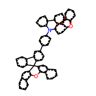 c1ccc(-c2ccccc2N(c2ccc(-c3ccc4c(c3)-c3ccccc3C43c4ccc5ccccc5c4Oc4c3ccc3ccccc43)cc2)c2ccc3oc4ccccc4c3c2)cc1